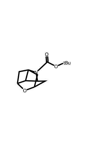 CC(C)(C)OC(=O)N1C2CC3CC14CC(O3)C24